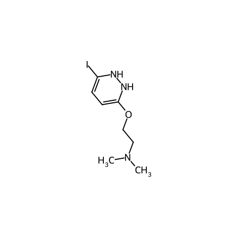 CN(C)CCOC1=CC=C(I)NN1